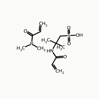 C=CC(=O)N(C)C.C=CC(=O)NC(C)(C)CS(=O)(=O)O